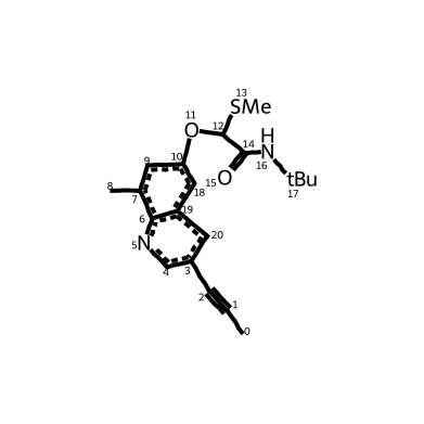 CC#Cc1cnc2c(C)cc(OC(SC)C(=O)NC(C)(C)C)cc2c1